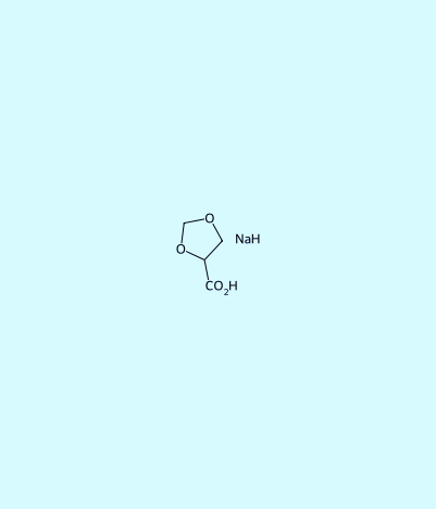 O=C(O)C1COCO1.[NaH]